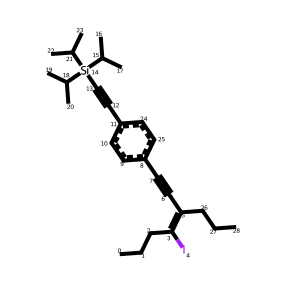 CCC/C(I)=C(\C#Cc1ccc(C#C[Si](C(C)C)(C(C)C)C(C)C)cc1)CCC